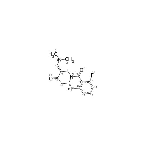 CN(C)/C=C1\CN(C(=O)c2c(F)cccc2F)CCC1=O